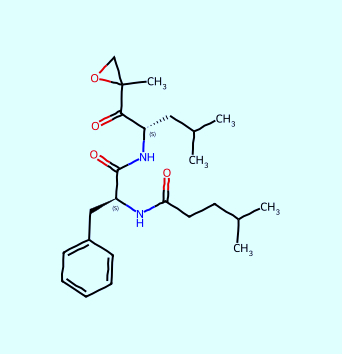 CC(C)CCC(=O)N[C@@H](Cc1ccccc1)C(=O)N[C@@H](CC(C)C)C(=O)C1(C)CO1